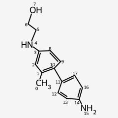 Cc1cc(NCCO)ccc1-c1ccc(N)cc1